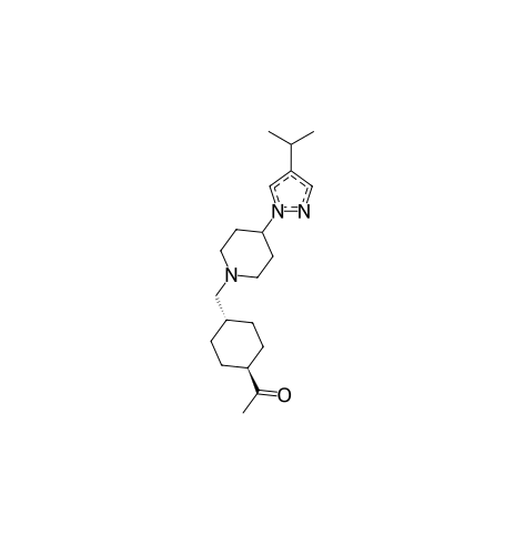 CC(=O)[C@H]1CC[C@H](CN2CCC(n3cc(C(C)C)cn3)CC2)CC1